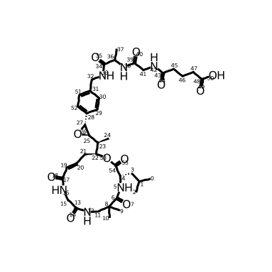 CC(C)C[C@@H]1NC(=O)C(C)(C)CNC(=O)CNC(=O)/C=C/C[C@@H]([C@H](C)[C@H]2O[C@@H]2c2ccc(CNC(=O)C(C)NC(=O)CNC(=O)CCCC(=O)O)cc2)OC1=O